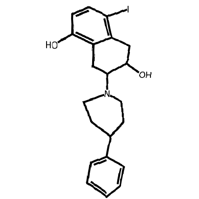 Oc1ccc(I)c2c1CC(N1CCC(c3ccccc3)CC1)C(O)C2